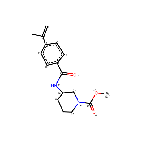 C=C(C)c1ccc(C(=O)NC2CCCN(C(=O)OC(C)(C)C)C2)cc1